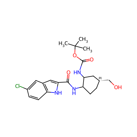 CC(C)(C)OC(=O)NC1C[C@H](CO)CCC1NC(=O)c1cc2cc(Cl)ccc2[nH]1